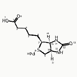 O=C(O)CCCC[C@@H]1SC[C@@H]2NC(=O)N[C@@H]21.[Pd]